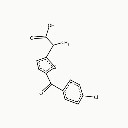 CC(C(=O)O)c1ccc(C(=O)c2ccc(Cl)cc2)s1